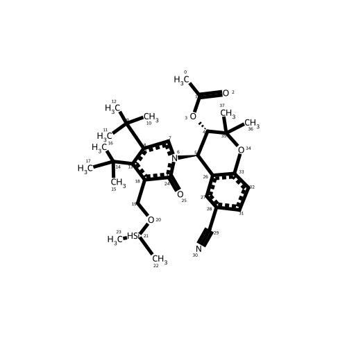 CC(=O)O[C@H]1[C@H](n2cc(C(C)(C)C)c(C(C)(C)C)c(CO[SiH](C)C)c2=O)c2cc(C#N)ccc2OC1(C)C